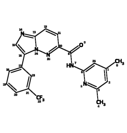 Cc1cc(C)nc(NC(=O)c2ccc3ncc(-c4cccc(C(F)(F)F)c4)n3n2)c1